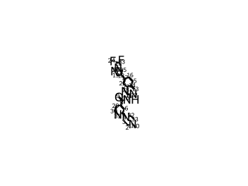 CN1CCN(c2cc(C(=O)Nc3ncc4ccc(-c5cnn(C(F)F)c5)cc4n3)ccn2)CC1